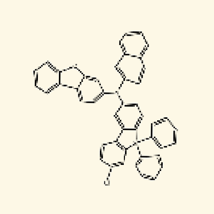 Clc1ccc2c(c1)[Si](c1ccccc1)(c1ccccc1)c1ccc(N(c3ccc4ccccc4c3)c3ccc4c(c3)oc3ccccc34)cc1-2